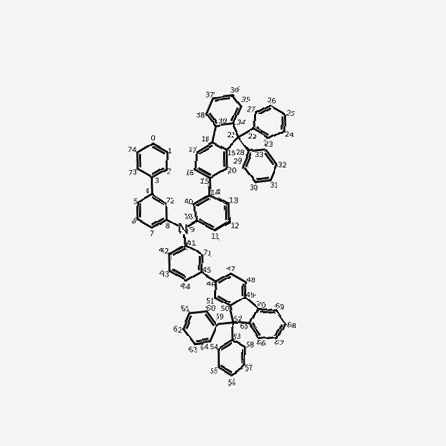 c1ccc(-c2cccc(N(c3cccc(-c4ccc5c(c4)C(c4ccccc4)(c4ccccc4)c4ccccc4-5)c3)c3cccc(-c4ccc5c(c4)C(c4ccccc4)(c4ccccc4)c4ccccc4-5)c3)c2)cc1